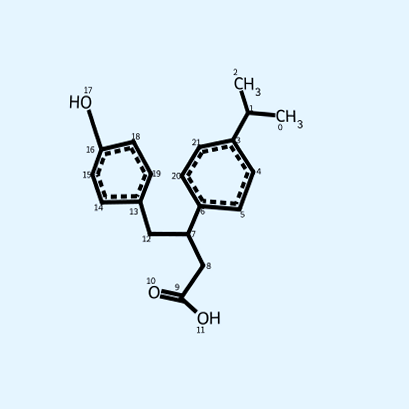 CC(C)c1ccc(C(CC(=O)O)Cc2ccc(O)cc2)cc1